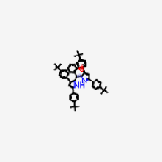 COc1ccccc1/C(=C1/N=C(c2ccc(C(C)(C)C)cc2)C=C1c1ccc(C(C)(C)C)cc1)c1[nH]c(-c2ccc(C(C)(C)C)cc2)cc1-c1ccc(C(C)(C)C)cc1